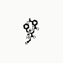 CC(=O)c1cccc(C(=O)NCC(C(=O)NCC#N)S(=O)(=O)Cc2ccccc2)c1